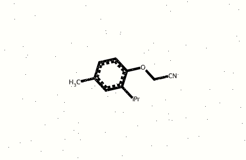 Cc1ccc(OCC#N)c(C(C)C)c1